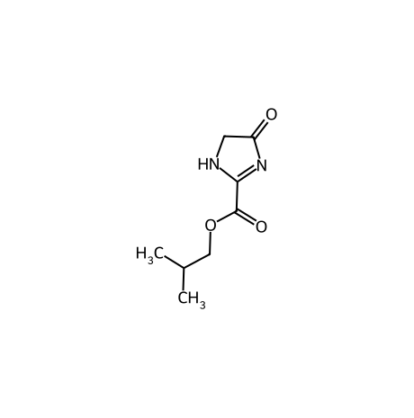 CC(C)COC(=O)C1=NC(=O)CN1